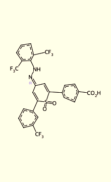 O=C(O)c1ccc(C2=C/C(=N\Nc3c(C(F)(F)F)cccc3C(F)(F)F)C=C(c3cccc(C(F)(F)F)c3)S2(=O)=O)cc1